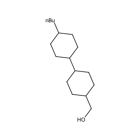 CCCCC1CCC(C2CCC(CO)CC2)CC1